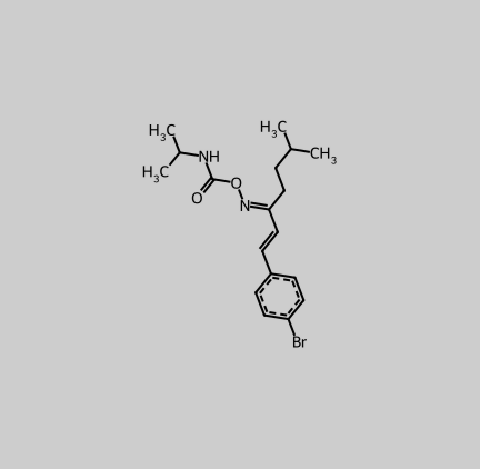 CC(C)CCC(C=Cc1ccc(Br)cc1)=NOC(=O)NC(C)C